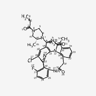 C=CC(=O)N1CCN(c2nc(=O)n3c4nc(c(Cl)cc24)-c2c(F)cccc2NC(=O)Cc2cccc(C(C)C)c2-3)[C@H](C)C1